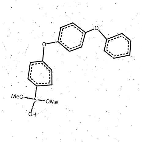 CO[Si](O)(OC)c1ccc(Oc2ccc(Oc3ccccc3)cc2)cc1